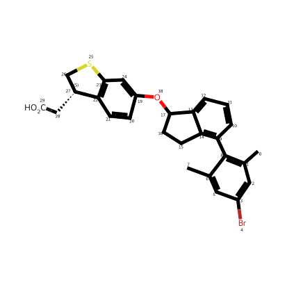 Cc1cc(Br)cc(C)c1-c1cccc2c1CCC2Oc1ccc2c(c1)SC[C@H]2CC(=O)O